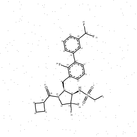 CCS(=O)(=O)N[C@@H]1[C@H](Cc2cccc(-c3cccc(C(F)F)c3)c2F)N(C(=O)C2CCC2)CC1(F)F